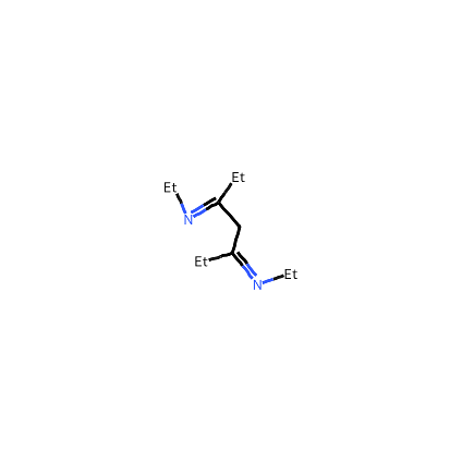 CCN=C(CC)CC(CC)=NCC